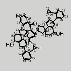 O=C(c1ncc(F)cc1N1CCC2(CCC(O)c3cc(-c4ccccc4C4CC4)ccc32)C1)c1ncc(F)cc1N1CCC2(CCC(O)c3cc(-c4ccccc4C4CC4)ccc32)C1